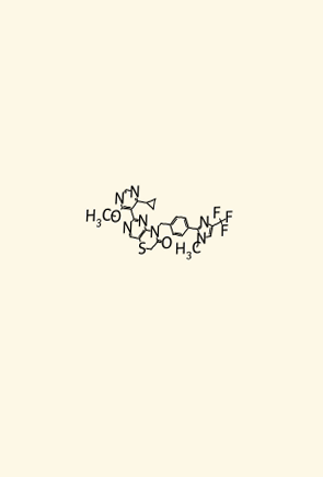 COc1ncnc(C2CC2)c1-c1ncc2c(n1)N(Cc1ccc(-c3nc(C(F)(F)F)cn3C)cc1)C(=O)CS2